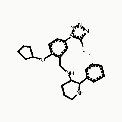 FC(F)(F)c1nnnn1-c1ccc(OC2CCCC2)c(CNC2CCCNC2c2ccccc2)c1